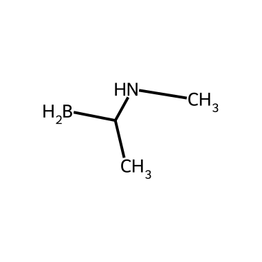 BC(C)NC